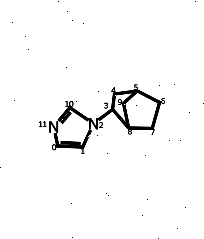 c1cn(C2CC3CCC2C3)cn1